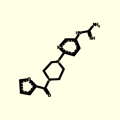 N=C(N)Nc1ccc(N2CCN(C(=O)c3ccco3)CC2)nc1